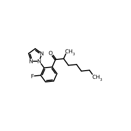 CCCCCC(C)C(=O)c1cccc(F)c1-n1nccn1